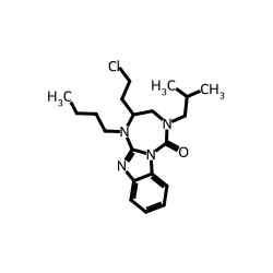 CCCCN1c2nc3ccccc3n2C(=O)N(CC(C)C)CC1CCCl